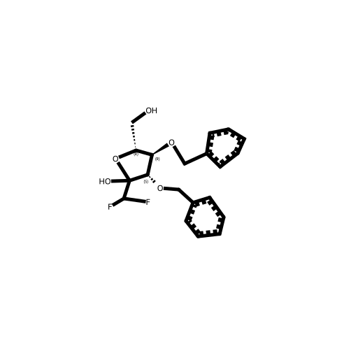 OC[C@H]1OC(O)(C(F)F)[C@@H](OCc2ccccc2)[C@@H]1OCc1ccccc1